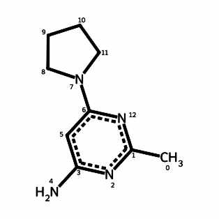 Cc1nc(N)cc(N2CCCC2)n1